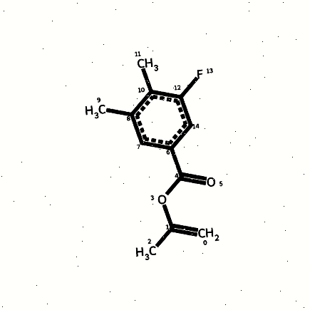 C=C(C)OC(=O)c1cc(C)c(C)c(F)c1